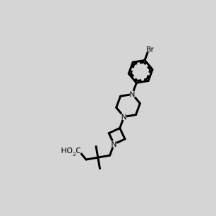 CC(C)(CC(=O)O)CN1CC(N2CCN(c3ccc(Br)cc3)CC2)C1